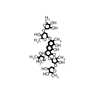 COC(C(O)C(C)=O)[C@@H]1Cc2cc3cc(OC4CC(OC5CC(O)C(O)C(C)O5)C(O)C(C)O4)c(C)c(O)c3c(O)c2C(=O)[C@H]1OC1CC(OC2CC(O)C(O)C(C)O2)C(O)C(C)O1